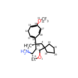 CCOCC1(C[C@](C)(CCN)C2=CCC=C(OC(F)(F)F)C=C2)CCCC1